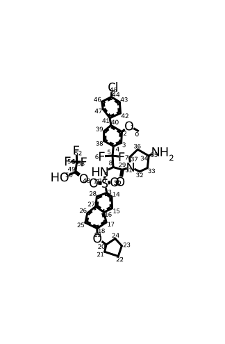 COc1cc(C(F)(F)C(NS(=O)(=O)c2ccc3cc(OC4CCCC4)ccc3c2)C(=O)N2CCC(N)CC2)ccc1-c1ccc(Cl)cc1.O=C(O)C(F)(F)F